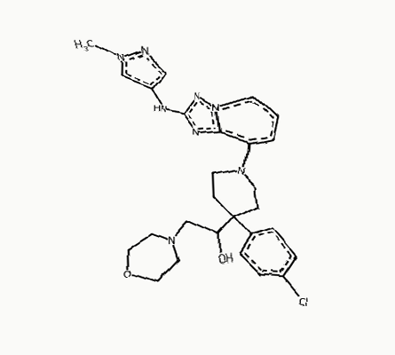 Cn1cc(Nc2nc3c(N4CCC(c5ccc(Cl)cc5)(C(O)CN5CCOCC5)CC4)cccn3n2)cn1